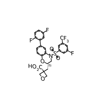 O=C(O)C1(C[C@H]2CN(S(=O)(=O)c3cc(F)cc(C(F)(F)F)c3)c3cc(-c4cc(F)ccc4F)ccc3O2)COC1